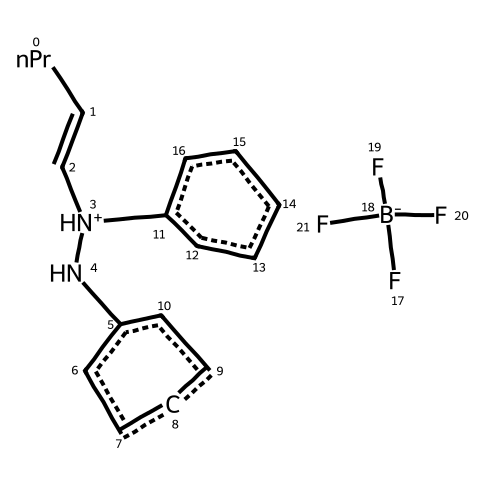 CCCC=C[NH+](Nc1ccccc1)c1ccccc1.F[B-](F)(F)F